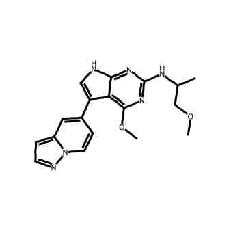 COCC(C)Nc1nc(OC)c2c(-c3ccn4nccc4c3)c[nH]c2n1